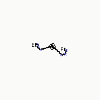 CC/C=C\C/C=C\C/C=C\CCCCCCCCOS(=O)(=O)OCCCCCCCC/C=C\C/C=C\C/C=C\CC